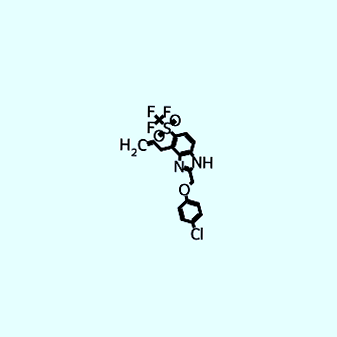 C=CCc1c(S(=O)(=O)C(F)(F)F)ccc2[nH]c(COc3ccc(Cl)cc3)nc12